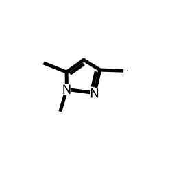 [CH2]c1cc(C)n(C)n1